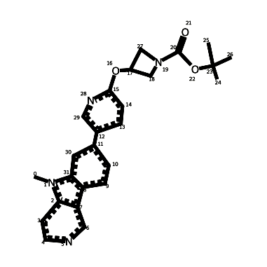 Cn1c2ccncc2c2ccc(-c3ccc(OC4CN(C(=O)OC(C)(C)C)C4)nc3)cc21